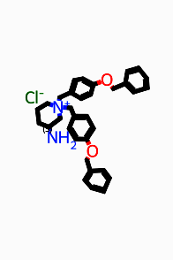 N[C@H]1CCC[N+](Cc2ccc(OCc3ccccc3)cc2)(Cc2ccc(OCc3ccccc3)cc2)C1.[Cl-]